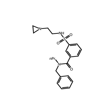 CCCN(Cc1ccccc1)C(=O)c1cccc(S(=O)(=O)NCCN2CC2)c1